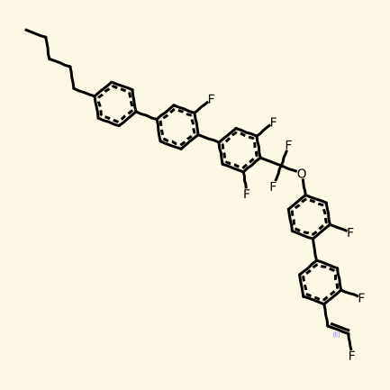 CCCCCc1ccc(-c2ccc(-c3cc(F)c(C(F)(F)Oc4ccc(-c5ccc(/C=C/F)c(F)c5)c(F)c4)c(F)c3)c(F)c2)cc1